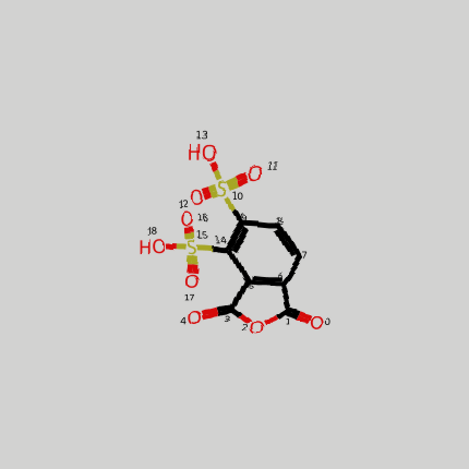 O=C1OC(=O)c2c1ccc(S(=O)(=O)O)c2S(=O)(=O)O